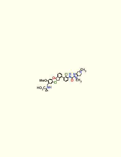 COc1cc(OC2CCc3c(-c4cccc(NC(=O)c5nc6c(n5C)CCN(C)C6)c4Cl)cccc32)c(Cl)cc1CNC1(C(=O)O)CC1